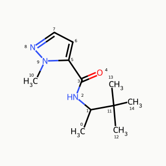 CC(NC(=O)c1ccnn1C)C(C)(C)C